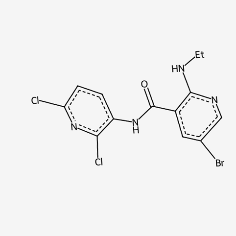 CCNc1ncc(Br)cc1C(=O)Nc1ccc(Cl)nc1Cl